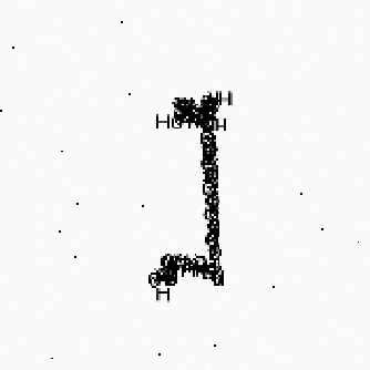 O=C1CCC(N2Cc3cc(CNC(=O)Nc4cc(Cl)cc(CCOCCOCCOCCOCCOCCOCCOCCOCCOCCOCCNc5nc(N6CCNCC6)c6cc(Cl)c(-c7cc(O)cc8ccccc78)c(F)c6n5)c4)ccc3C2=O)C(=O)N1